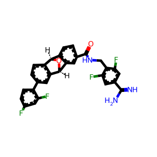 N=C(N)c1cc(F)c(CNC(=O)c2ccc3c(c2)[C@@H]2O[C@H]3c3ccc(-c4ccc(F)cc4F)cc32)c(F)c1